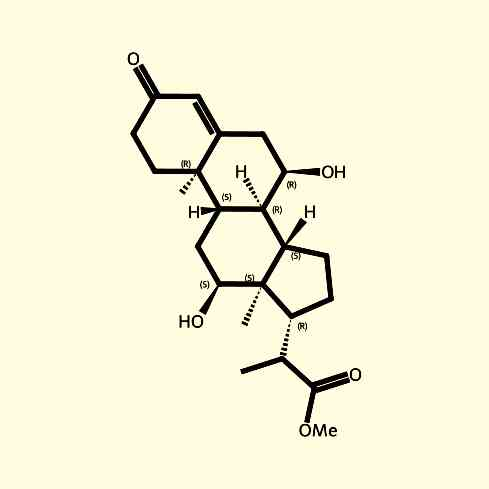 COC(=O)C(C)[C@H]1CC[C@H]2[C@@H]3[C@H](O)CC4=CC(=O)CC[C@]4(C)[C@H]3C[C@H](O)[C@]12C